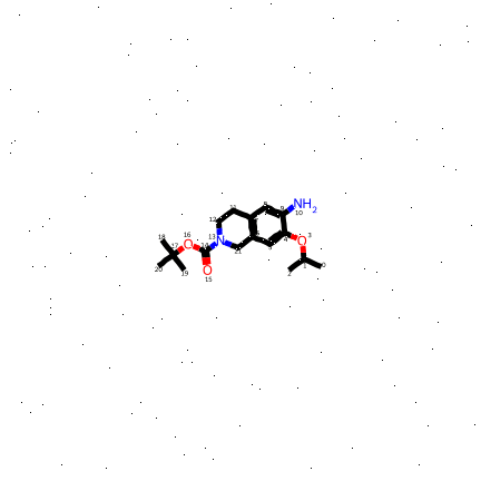 CC(C)Oc1cc2c(cc1N)CCN(C(=O)OC(C)(C)C)C2